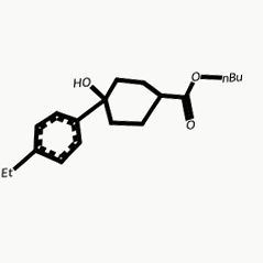 CCCCOC(=O)C1CCC(O)(c2ccc(CC)cc2)CC1